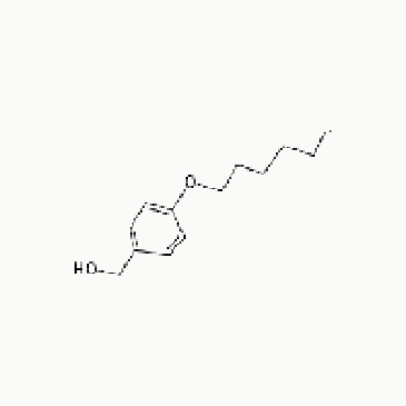 [CH2]CCCCCOc1ccc(CO)cc1